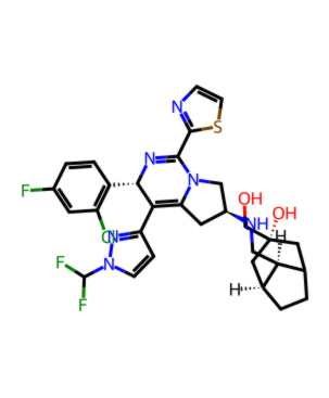 OC[C@@]1(O)CC2CC[C@@H](C1)[C@H]2CN[C@H]1CC2=C(c3ccn(C(F)F)n3)[C@H](c3ccc(F)cc3Cl)N=C(c3nccs3)N2C1